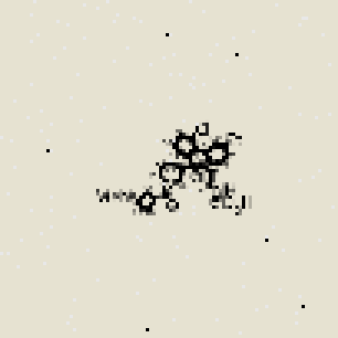 CCc1cccc(-c2c(Cl)cccc2C(O)(CCCNC(=O)O)C2CCCN(C(=O)[C@@H]3CC[C@H](NC)C3)C2)c1